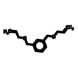 C=CCOCc1cccc(COCC=C)c1